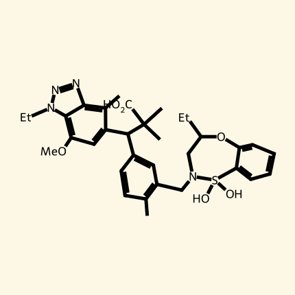 CCC1CN(Cc2cc(C(c3cc(OC)c4c(nnn4CC)c3C)C(C)(C)C(=O)O)ccc2C)S(O)(O)c2ccccc2O1